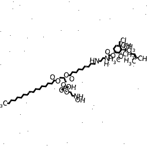 CCCCCCCCCCCCCCCCC(=O)OCC(COP(=O)(O)OCCNO)OC(=O)CCCCCCCCNCCNC(=O)O[C@@H]1CC[C@](O)(CCl)[C@@H](C(C)(C)OCC=C(C)C)[C@@H]1OC